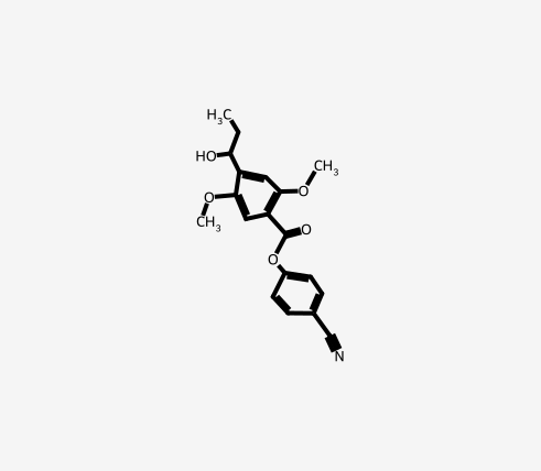 CCC(O)c1cc(OC)c(C(=O)Oc2ccc(C#N)cc2)cc1OC